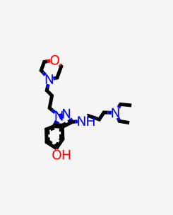 CCN(CC)CCCNc1nn(CCCN2CCOCC2)c2ccc(O)cc12